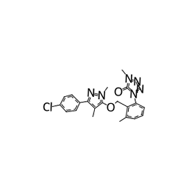 Cc1cccc(-n2nnn(C)c2=O)c1COc1c(C)c(-c2ccc(Cl)cc2)nn1C